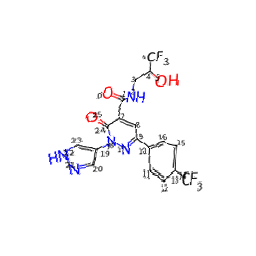 O=C(NCC(O)C(F)(F)F)c1cc(-c2ccc(C(F)(F)F)cc2)nn(-c2cn[nH]c2)c1=O